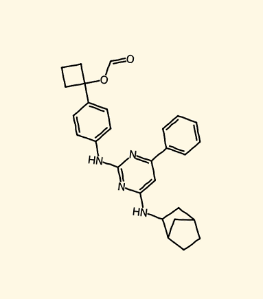 O=COC1(c2ccc(Nc3nc(NC4CC5CCC4C5)cc(-c4ccccc4)n3)cc2)CCC1